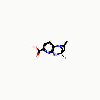 CC1C[C@H]2CN1c1ccc(C(=O)O)nc1N2